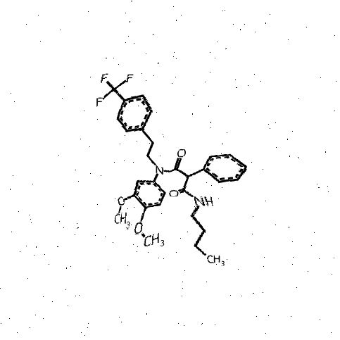 CCCCNC(=O)C(C(=O)N(CCc1ccc(C(F)(F)F)cc1)c1ccc(OC)c(OC)c1)c1ccccc1